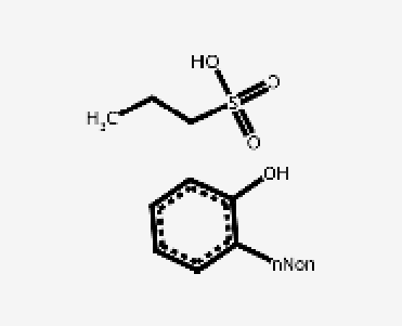 CCCCCCCCCc1ccccc1O.CCCS(=O)(=O)O